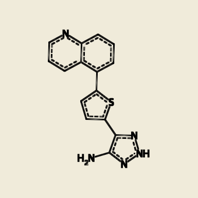 Nc1n[nH]nc1-c1ccc(-c2cccc3ncccc23)s1